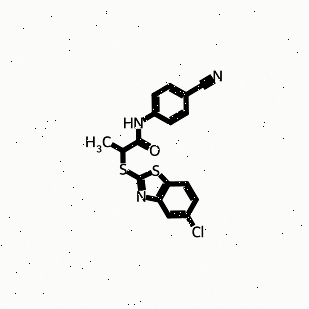 CC(Sc1nc2cc(Cl)ccc2s1)C(=O)Nc1ccc(C#N)cc1